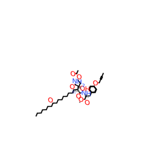 CC#CCOc1ccc(C[C@H](NC(=O)[C@@H](/C=C/CCCCCCC(=O)CCCCCCC)[C@@](O)(CCOC(C)=O)C(N)=O)C(=O)OC)cc1